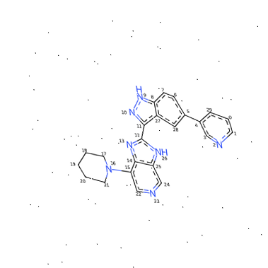 c1cncc(-c2ccc3[nH]nc(-c4nc5c(N6CCCCC6)cncc5[nH]4)c3c2)c1